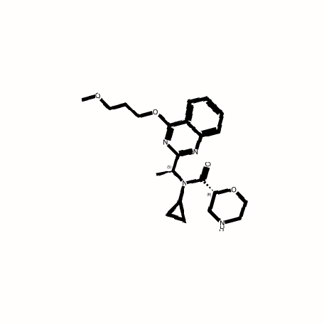 COCCCOc1nc([C@H](C)N(C(=O)[C@H]2CNCCO2)C2CC2)nc2ccccc12